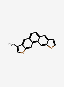 Cc1csc2cc3c(ccc4cc5ccsc5cc43)cc12